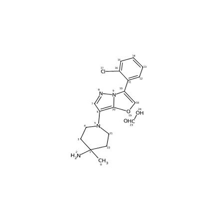 CC1(N)CCN(c2cnn3c(-c4ccccc4Cl)coc23)CC1.O=CO